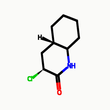 O=C1NC2CCCC[C@H]2C[C@H]1Cl